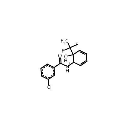 CC1(C(F)(F)C(F)(F)F)C=CC=CC1NC(=O)c1cccc(Cl)c1